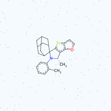 Cc1ccccc1N1[C@@H](C)c2c(sc3ccoc23)C12C1CC3CC(C1)CC2C3